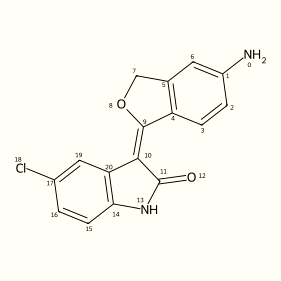 Nc1ccc2c(c1)CO/C2=C1/C(=O)Nc2ccc(Cl)cc21